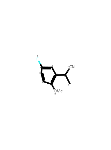 COc1ccc(F)cc1C(C)C#N